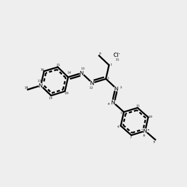 CCC(N=Nc1cc[n+](C)cc1)=NN=c1ccn(C)cc1.[Cl-]